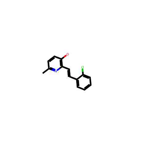 Cc1ccc([O])c(C=Cc2ccccc2Cl)n1